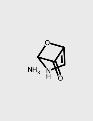 N.O=C1C2=CNC1O2